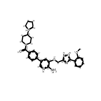 COc1ccccc1-c1nc(COc2cc(-c3ccc(C(=O)N4CCC(N5CCCC5)CC4)cc3)cnc2N)no1